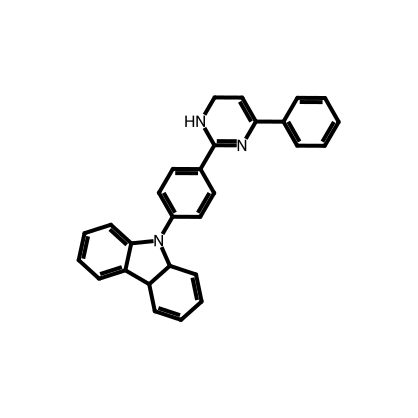 C1=CC2c3ccccc3N(c3ccc(C4=NC(c5ccccc5)=CCN4)cc3)C2C=C1